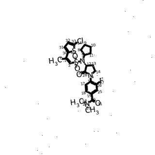 C/C(=C/S(=O)(=O)N(C1CCCC1)[C@H]1CCN(c2ccc(C(=O)N(C)C)cc2F)C1=O)c1ccc(Cl)s1